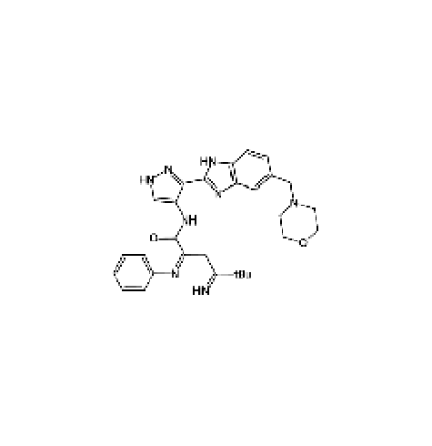 CC(C)(C)C(=N)C/C(=N/c1ccccc1)C(=O)Nc1c[nH]nc1-c1nc2cc(CN3CCOCC3)ccc2[nH]1